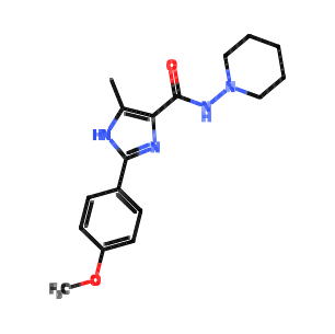 Cc1[nH]c(-c2ccc(OC(F)(F)F)cc2)nc1C(=O)NN1CCCCC1